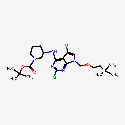 CC(C)(C)OC(=O)N1CCC[C@@H](Nc2nc(Cl)nc3c2c(Cl)cn3COCC[Si](C)(C)C)C1